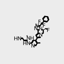 CN/C(=C\C=N)Nc1cc(-c2cc3n(c2)C[C@H](CF)n2c-3nnc2C(F)(F)c2ccccc2)c(C)cn1